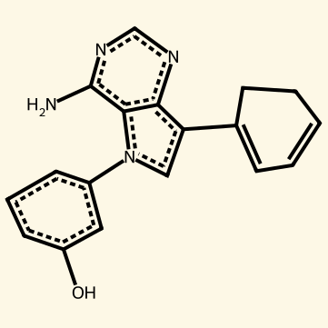 Nc1ncnc2c(C3=CC=CCC3)cn(-c3cccc(O)c3)c12